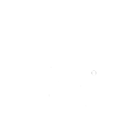 C=CC=C(C)C(C)=O